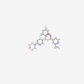 Cc1cc(/C(CC(c2ccc(N3CCOCC3)nc2)c2ccc(F)cc2F)=N/O)ccn1